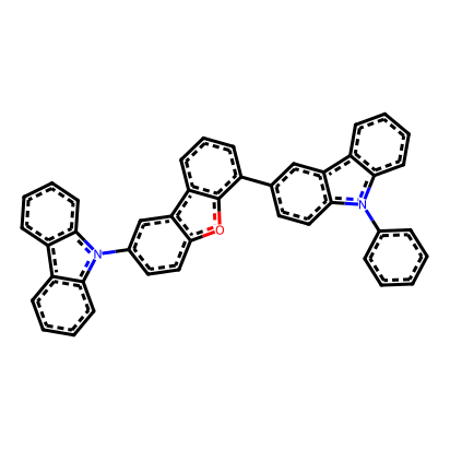 c1ccc(-n2c3ccccc3c3cc(-c4cccc5c4oc4ccc(-n6c7ccccc7c7ccccc76)cc45)ccc32)cc1